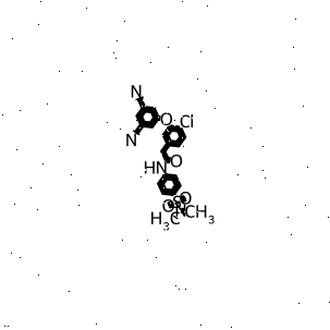 CN(C)S(=O)(=O)c1ccc(NC(=O)Cc2ccc(Cl)c(Oc3cc(C#N)cc(C#N)c3)c2)cc1